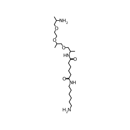 CC(N)COCCOC(C)COCC(C)NC(=O)CCCCC(=O)NCCCCCCN